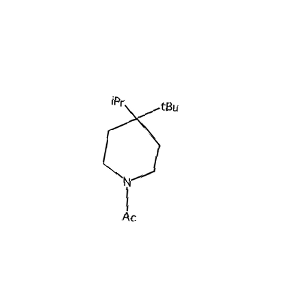 CC(=O)N1CCC(C(C)C)(C(C)(C)C)CC1